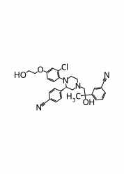 C[C@@](O)(CN1CCN(c2ccc(OCCO)cc2Cl)[C@H](c2ccc(C#N)cc2)C1)c1cccc(C#N)c1